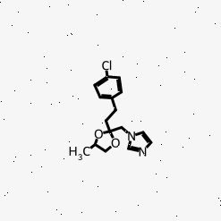 CC1COC(CCc2ccc(Cl)cc2)(Cn2ccnc2)O1